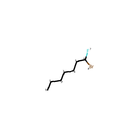 CCCCCCC(F)Br